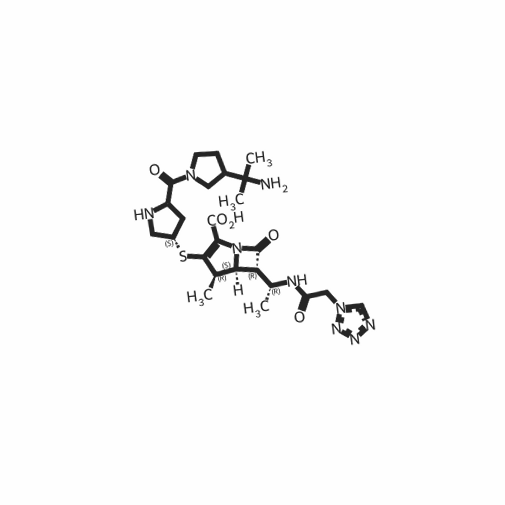 C[C@@H](NC(=O)Cn1cnnn1)[C@H]1C(=O)N2C(C(=O)O)=C(S[C@@H]3CNC(C(=O)N4CCC(C(C)(C)N)C4)C3)[C@H](C)[C@H]12